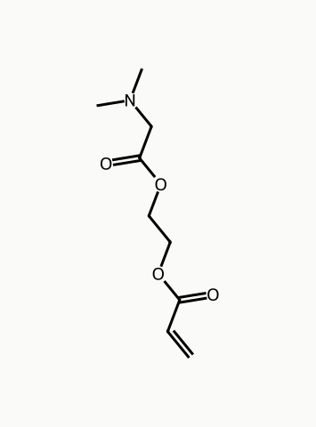 C=CC(=O)OCCOC(=O)CN(C)C